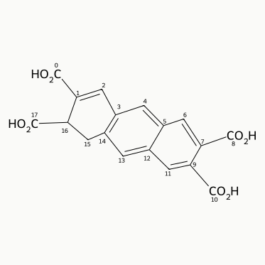 O=C(O)C1=Cc2cc3cc(C(=O)O)c(C(=O)O)cc3cc2CC1C(=O)O